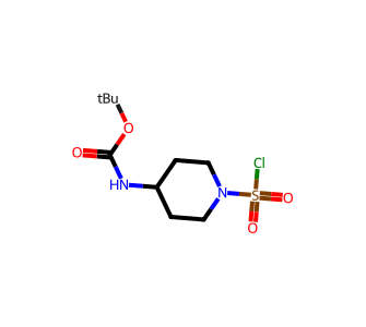 CC(C)(C)OC(=O)NC1CCN(S(=O)(=O)Cl)CC1